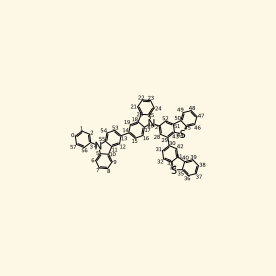 c1ccc(-n2c3ccccc3c3cc(-c4ccc5c(c4)c4ccccc4n5-c4cc(-c5ccc6sc7ccccc7c6c5)c5sc6ccccc6c5c4)ccc32)cc1